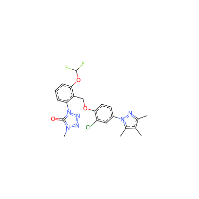 Cc1nn(-c2ccc(OCc3c(OC(F)F)cccc3-n3nnn(C)c3=O)c(Cl)c2)c(C)c1C